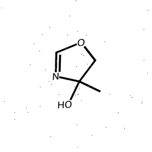 CC1(O)COC=N1